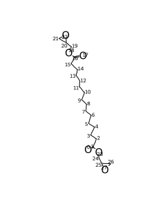 O=C(CCCCCCCCCCCCCCC(=O)OCC1CO1)OCC1CO1